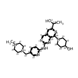 CC(O)c1cc2cnc(Nc3ccc(CN4CCN(C)CC4)cn3)nc2c(N2CCC(O)CC2)n1